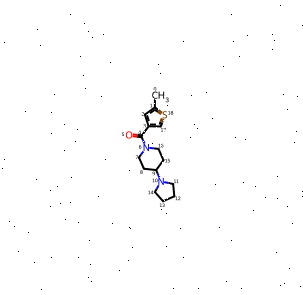 Cc1cc(C(=O)N2CCC(N3CCCC3)CC2)cs1